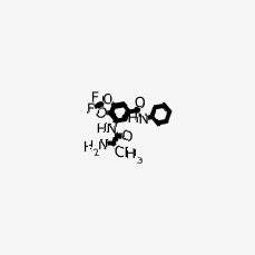 CC(N)C(=O)Nc1cc(C(=O)NC2CCCCC2)cc2c1OC(F)(F)O2